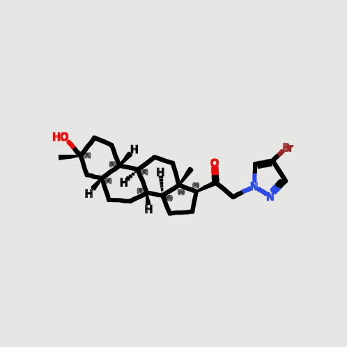 C[C@@]1(O)CC[C@H]2[C@H](CC[C@@H]3[C@@H]2CC[C@]2(C)[C@@H](C(=O)Cn4cc(Br)cn4)CC[C@@H]32)C1